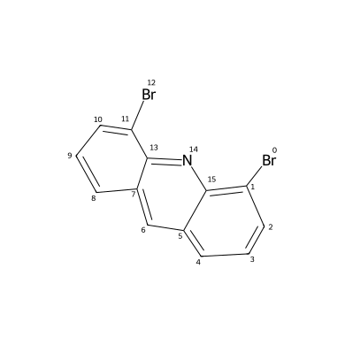 Brc1cccc2cc3cccc(Br)c3nc12